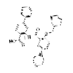 O=C(O)c1ccc(-c2ccccc2)cc1NC(=O)c1cc(N2CCSCC2)ccc1OCc1ccccc1